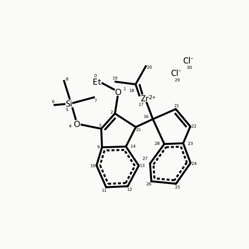 CCOC1=C(O[Si](C)(C)C)c2ccccc2C1[C]1([Zr+2]=[C](C)C)C=Cc2ccccc21.[Cl-].[Cl-]